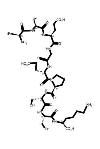 CC(C)C[C@H](NC(=O)[C@H](CO)NC(=O)[C@@H]1CCCN1C(=O)[C@H](CCC(=O)O)NC(=O)CNC(=O)[C@H](CCC(=O)O)NC(=O)[C@@H](NC(=O)[C@@H](N)C(C)C)C(C)C)C(=O)N[C@@H](CCCCN)C(=O)O